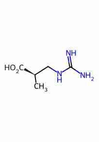 C[C@H](CNC(=N)N)C(=O)O